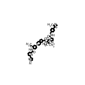 COc1cc(N2CCC3(CCC(C(=O)N[C@H](C(=O)N4CCC[C@H]4C(=O)NCc4ccc(-c5scnc5C)cc4)C(C)(C)C)C3)CC2)ccc1NC(=O)c1cccc(-c2cc[nH]n2)n1